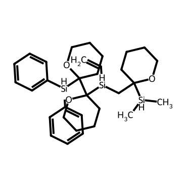 C=C[SiH](CC1([SiH](C)C)CCCCO1)C1(C2([SiH](c3ccccc3)c3ccccc3)CCCCO2)CCCCO1